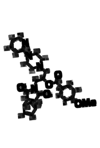 COc1ccc(C(=O)OC(CN2CCN(c3ccccn3)CC2)CN2C(=O)C3C4C=CC(C4)C3C2=O)cc1